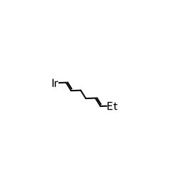 CCC=CCCC=[CH][Ir]